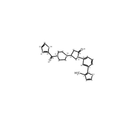 Cc1ccsc1-c1cccc(N2CC(N3CCN(C(=O)c4nccs4)CC3)CC2=O)c1